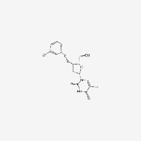 O=c1[nH]c(=O)n([C@@H]2CC(OCc3cccc(Cl)c3)[C@H](CO)O2)cc1F